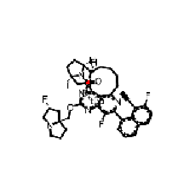 C#Cc1c(F)ccc2cccc(-c3nc4c5c(nc(OC[C@@]67CCCN6C[C@H](F)C7)nc5c3F)N3C[C@H]5CC[C@@H]([C@H]3CCCC4)N5C(=O)OC(C)(C)C)c12